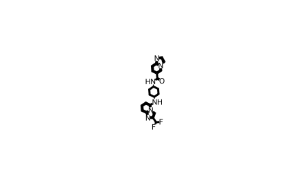 O=C(N[C@H]1CC[C@@H](Nc2cccc3nc(C(F)F)cn23)CC1)c1ccc2nccn2c1